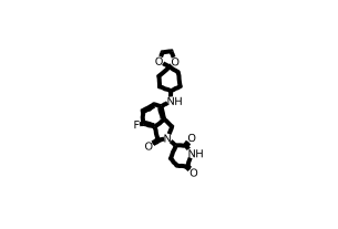 O=C1CCC(N2Cc3c(NC4CCC5(CC4)OCCO5)ccc(F)c3C2=O)C(=O)N1